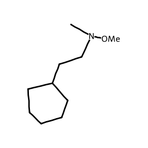 CON(C)CCC1CCCCC1